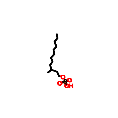 CCCCCCCCCC(C)CCOS(=O)(=O)O